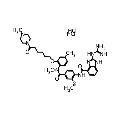 COc1cc(C(=O)N(C)c2ccc(C)cc2OCCCCCC(=O)N2CCN(C)CC2)ccc1NC(=O)c1cccc2[nH]c(NC(=N)N)nc12.Cl.Cl